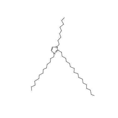 CCCCCCCCCCCCCCCCCc1n(CCCCCCCCC)cc[n+]1CCCCCCCCCCCCC